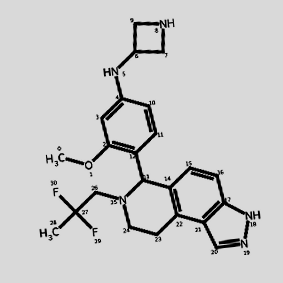 COc1cc(NC2CNC2)ccc1C1c2ccc3[nH]ncc3c2CCN1CC(C)(F)F